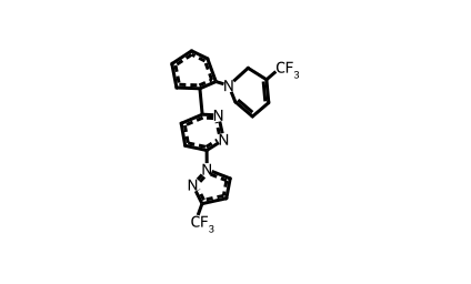 FC(F)(F)C1=CC=CN(c2ccccc2-c2ccc(-n3ccc(C(F)(F)F)n3)nn2)C1